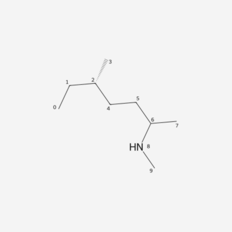 CC[C@H](C)CCC(C)NC